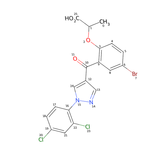 CC(Oc1ccc(Br)cc1C(=O)c1cnn(-c2ccc(Cl)cc2Cl)c1)C(=O)O